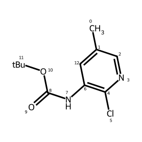 Cc1cnc(Cl)c(NC(=O)OC(C)(C)C)c1